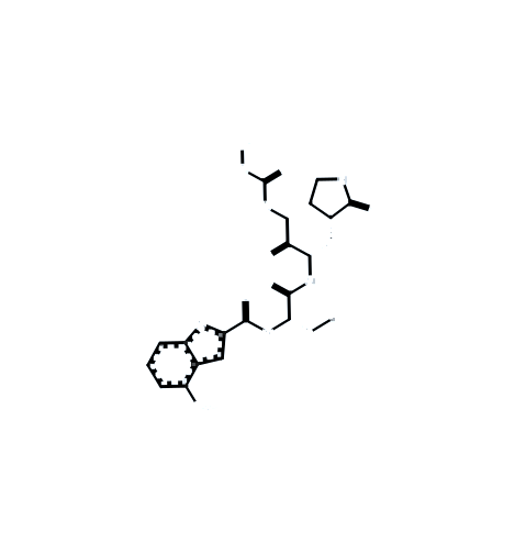 COc1cccc2[nH]c(C(=O)N[C@@H](CC(C)C)C(=O)N[C@@H](C[C@@H]3CCNC3=O)C(=O)COC(=O)OC(C)C)cc12